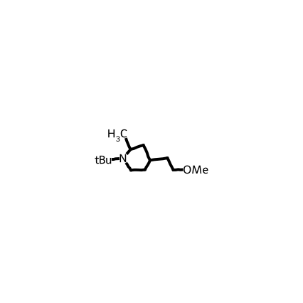 COCCC1CCN(C(C)(C)C)C(C)C1